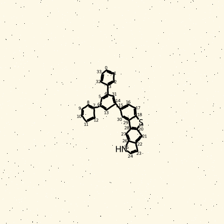 c1ccc(-c2cc(-c3ccccc3)cc(-c3ccc4sc5cc6cc[nH]c6cc5c4c3)c2)cc1